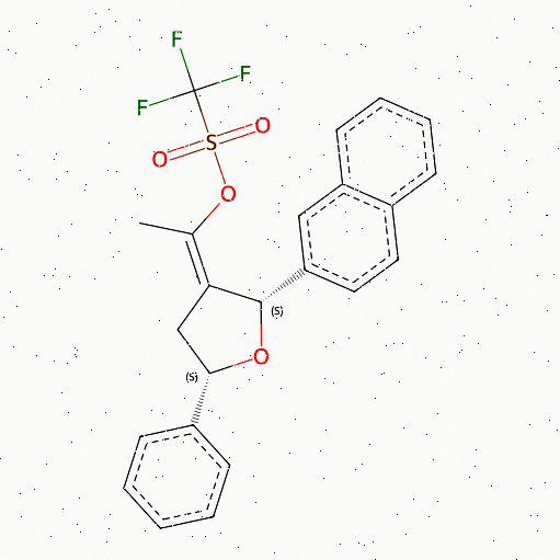 CC(OS(=O)(=O)C(F)(F)F)=C1C[C@@H](c2ccccc2)O[C@H]1c1ccc2ccccc2c1